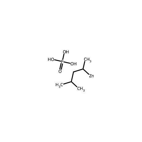 CC(C)C[CH](C)[Zn].O=P(O)(O)O